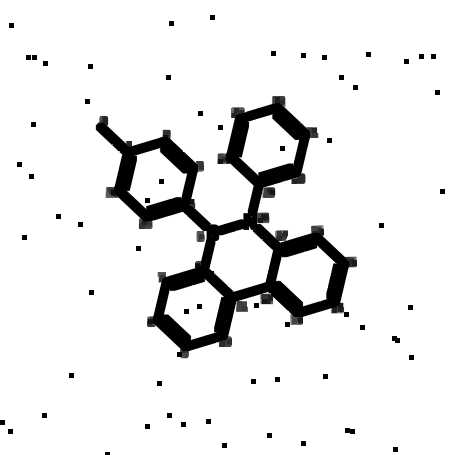 Cc1ccc(B2c3ccccc3-c3ccccc3N2c2ccccc2)cc1